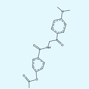 CC(=O)Oc1ccc(C(=O)NCC(=O)c2ccc(N(C)C)cc2)cc1